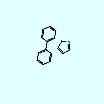 c1ccc(-c2ccccc2)cc1.c1cnsc1